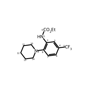 CCOC(=O)Nc1cc(C(F)(F)F)ccc1N1CCCCC1